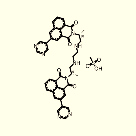 CS(=O)(=O)O.C[C@H](CNCCNC[C@H](C)N1C(=O)c2cccc3cc(-c4cncnc4)cc(c23)C1=O)N1C(=O)c2cccc3cc(-c4cncnc4)cc(c23)C1=O